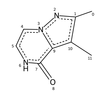 Cc1nn2cc[nH]c(=O)c2c1C